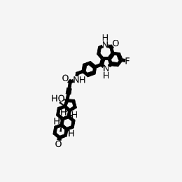 C[C@]12CCC(=O)C[C@@H]1CC[C@@H]1[C@@H]2CC[C@@]2(C)[C@H]1CC[C@@]2(O)C#CC(=O)NCc1ccc(-c2[nH]c3cc(F)cc4c3c2CCNC4=O)cc1